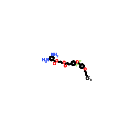 Nc1cc(N)cc(C(=O)OCCCOC(=O)C=Cc2ccc(OC(F)(F)c3ccc(OCCCCC(F)(F)F)cc3)cc2)c1